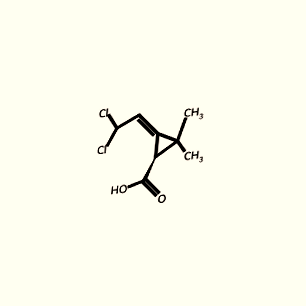 CC1(C)C(=CC(Cl)Cl)[C@@H]1C(=O)O